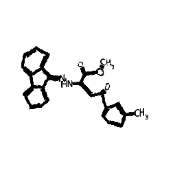 COC(=O)C(=CC(=O)c1cccc(C)c1)NN=C1c2ccccc2-c2ccccc21